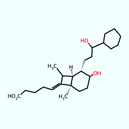 CC1C(=CCCCC(=O)O)[C@]2(C)CC[C@H](O)[C@@H](CCC(O)C3CCCCC3)[C@H]12